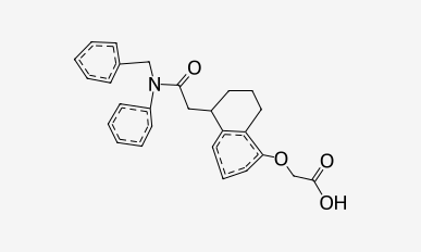 O=C(O)COc1cccc2c1CCCC2CC(=O)N(Cc1ccccc1)c1ccccc1